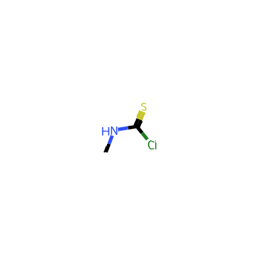 CNC(=S)Cl